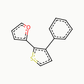 c1ccc(-c2ccsc2-c2ccco2)cc1